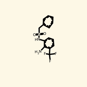 Nc1c(NS(=O)(=O)Cc2ccccc2)cccc1C(F)(F)F